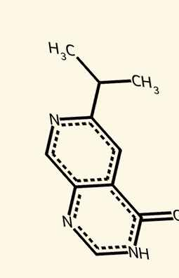 CC(C)c1cc2c(=O)[nH]cnc2cn1